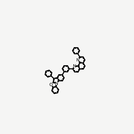 c1ccc(-c2ccc3ccc4ccc(-c5cccc(-c6ccc7c(c6)c(-c6ccccc6)c6oc8ccccc8n67)c5)nc4c3n2)cc1